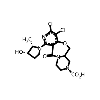 C[C@H]1[C@@H](O)CCN1c1nc(Cl)c(Cl)c2c1C(=O)N1CCN(C(=O)O)CC1CO2